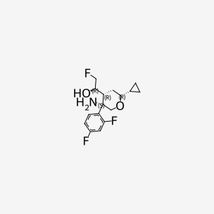 N[C@@]1(c2ccc(F)cc2F)CO[C@@H](C2CC2)C[C@H]1[C@@H](O)CF